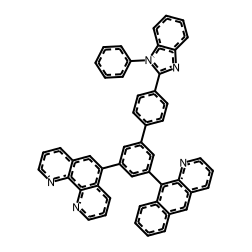 c1ccc(-n2c(-c3ccc(-c4cc(-c5cc6cccnc6c6ncccc56)cc(-c5c6ccccc6cc6cccnc56)c4)cc3)nc3ccccc32)cc1